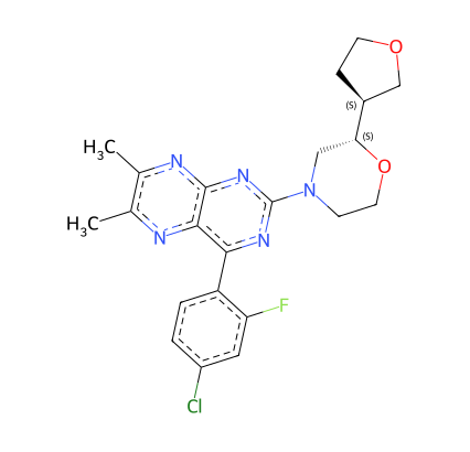 Cc1nc2nc(N3CCO[C@@H]([C@H]4CCOC4)C3)nc(-c3ccc(Cl)cc3F)c2nc1C